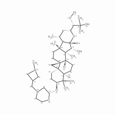 CCO[C@@H]([C@H]1C[C@@H](C)C2[C@H](O1)[C@H](O)[C@@]1(C)[C@@H]3CC[C@H]4C(C)(C)[C@@H](O[C@H]5CN(CC6CN(C)C6)CCO5)CC[C@@]45C[C@@]35CC[C@]21C)C(C)(C)O